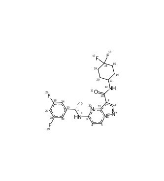 C[C@H](Nc1ccn2ncc(C(=O)NC3CCC(F)(F)CC3)c2n1)c1cc(F)cc(F)c1